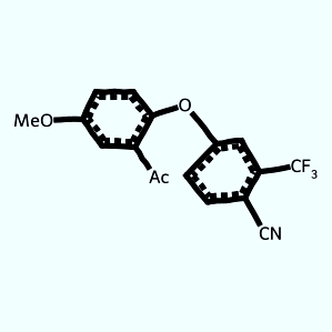 COc1ccc(Oc2ccc(C#N)c(C(F)(F)F)c2)c(C(C)=O)c1